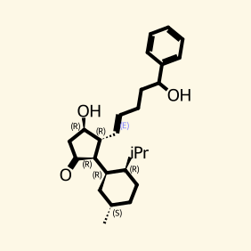 CC(C)[C@H]1CC[C@H](C)C[C@H]1[C@H]1C(=O)C[C@@H](O)[C@@H]1/C=C/CCC(O)c1ccccc1